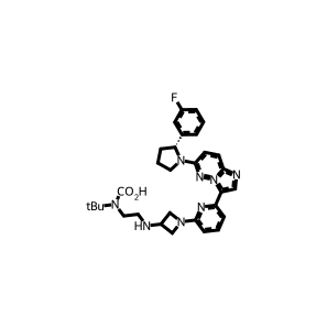 CC(C)(C)N(CCNC1CN(c2cccc(-c3cnc4ccc(N5CCC[C@@H]5c5cccc(F)c5)nn34)n2)C1)C(=O)O